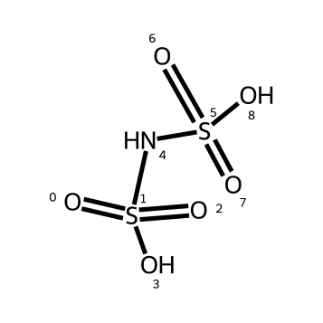 O=S(=O)(O)NS(=O)(=O)O